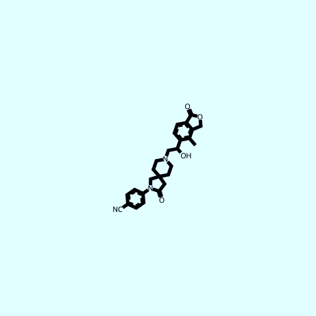 Cc1c(C(O)CN2CCC3(CC2)CC(=O)N(c2ccc(C#N)cc2)C3)ccc2c1COC2=O